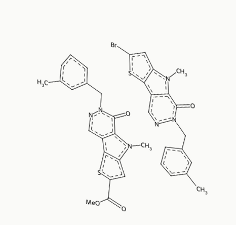 COC(=O)c1cc2c(s1)c1cnn(Cc3cccc(C)c3)c(=O)c1n2C.Cc1cccc(Cn2ncc3c4sc(Br)cc4n(C)c3c2=O)c1